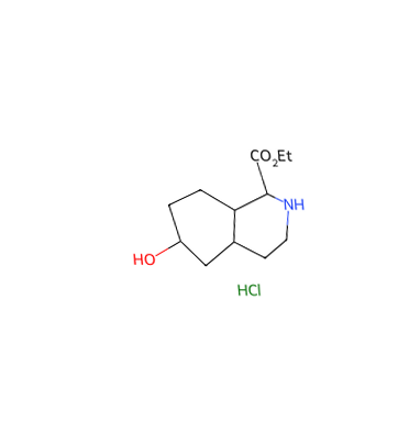 CCOC(=O)C1NCCC2CC(O)CCC21.Cl